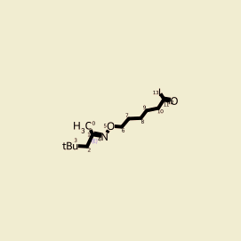 C/C(CC(C)(C)C)=N\OCCCCCC(=O)I